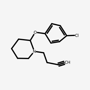 C#CCCN1CCCCC1Oc1ccc(Cl)cc1